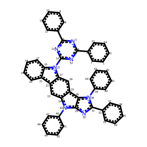 c1ccc(-c2nc(-c3ccccc3)nc(-n3c4ccccc4c4cc5c(cc43)c3c(nc(-c4ccccc4)n3-c3ccccc3)n5-c3ccccc3)n2)cc1